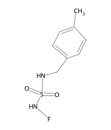 Cc1ccc(CNS(=O)(=O)NF)cc1